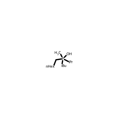 CCCCCCCP(C)(O)(C(C)C)C(C)CC